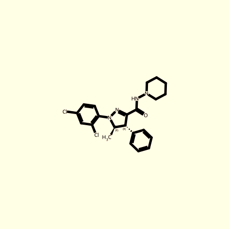 C[C@@H]1[C@@H](c2ccccc2)C(C(=O)NN2CCCCC2)=NN1c1ccc(Cl)cc1Cl